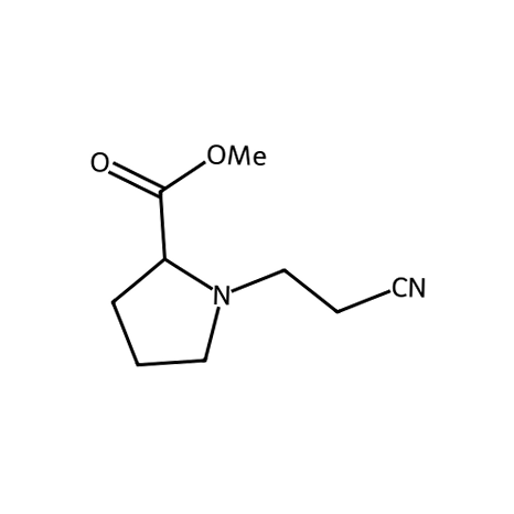 COC(=O)C1CCCN1CCC#N